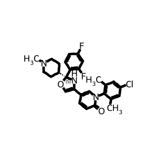 Cc1cc(Cl)cc(C)c1-n1cc(C2=CO[C@](c3ccc(F)cc3F)(C3CCN(C)CC3)N2)ccc1=O